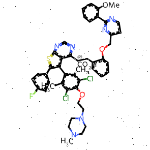 COc1ccccc1-c1nccc(COc2ccccc2C[C@@H](C(=O)O)c2ncnc3sc(-c4ccc(F)cc4)c(-c4c(C)c(Cl)c(OCCN5CCN(C)CC5)c(Cl)c4C)c23)n1